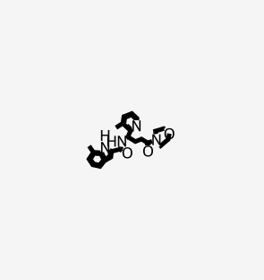 Cc1cccnc1C(CCC(=O)N1CCOCC1)NC(=O)c1cc2cccc(C)c2[nH]1